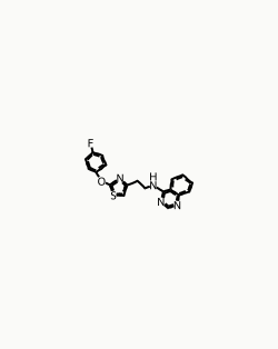 Fc1ccc(Oc2nc(CCNc3ncnc4ccccc34)cs2)cc1